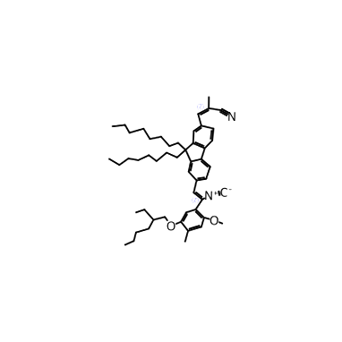 [C-]#[N+]/C(=C\c1ccc2c(c1)C(CCCCCCCC)(CCCCCCCC)c1cc(/C=C(/C)C#N)ccc1-2)c1cc(OCC(CC)CCCC)c(C)cc1OC